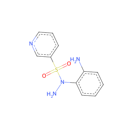 Nc1ccccc1N(N)S(=O)(=O)c1cccnc1